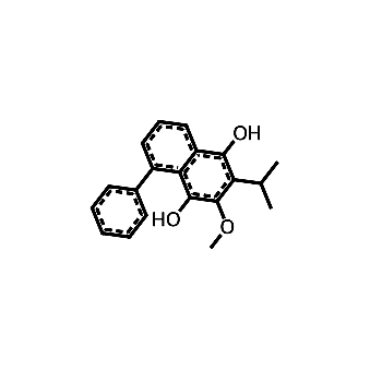 COc1c(C(C)C)c(O)c2cccc(-c3ccccc3)c2c1O